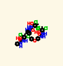 Cc1c(Cl)cc(NC(=O)NC23CC4CC(CC(C4)C2)C3)c(O)c1Cl.Cc1c(Cl)cc(NC(=O)Nc2ccc(Oc3ccccc3)cc2)c(O)c1Cl.Cc1c(Cl)cc(NC(=O)Nc2ccccc2)c(O)c1Cl